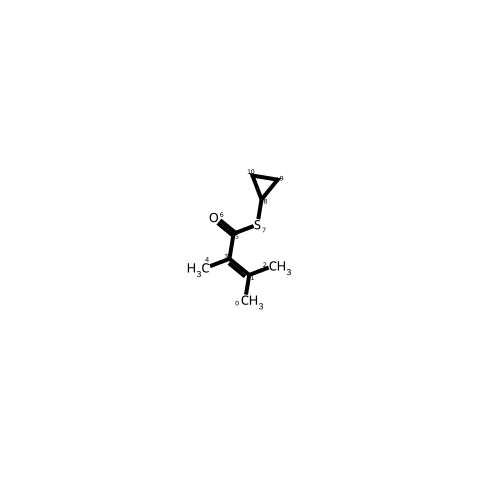 CC(C)=C(C)C(=O)SC1CC1